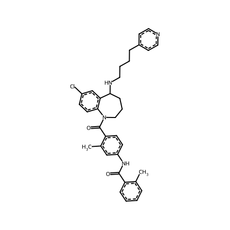 Cc1ccccc1C(=O)Nc1ccc(C(=O)N2CCCC(NCCCCc3ccncc3)c3cc(Cl)ccc32)c(C)c1